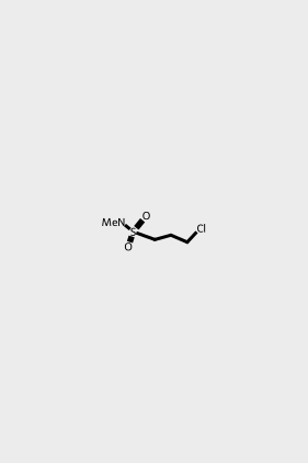 CNS(=O)(=O)CCCCl